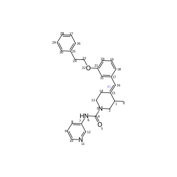 CC1CN(C(=O)Nc2cccnc2)CC/C1=C\c1cccc(OCCc2ccccc2)c1